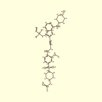 C=CC(F)(F)Cn1c(C#CCNc2ccc(S(=O)(=O)N3CCC(CC(C)=O)CC3)cc2OC)cc2c(NC3CC[S+]([O-])CC3)cccc21